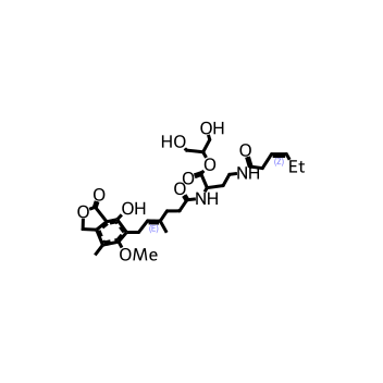 CC/C=C\CC(=O)NCCC(NC(=O)CC/C(C)=C/Cc1c(O)c2c(c(C)c1OC)COC2=O)C(=O)OC(CO)CO